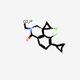 O=C(O)CN1C[C@]2(C[C@H]2F)c2c(ccc(C3CC3)c2F)C1=O